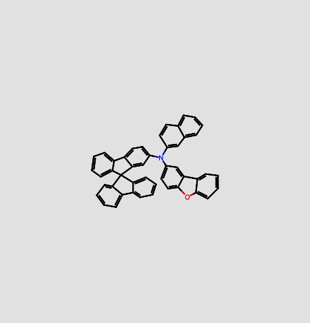 c1ccc2c(c1)-c1ccccc1C21c2ccccc2-c2ccc(N(c3ccc4ccccc4c3)c3ccc4oc5ccccc5c4c3)cc21